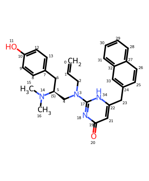 C=CCN(C[C@H](Cc1ccc(O)cc1)N(C)C)c1nc(=O)cc(Cc2ccc3ccccc3c2)[nH]1